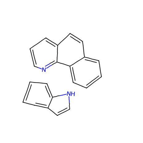 c1ccc2[nH]ccc2c1.c1ccc2c(c1)ccc1cccnc12